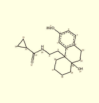 COc1ccc2c(c1)C1(CCNC(=O)C3CC3)CCCCC1(O)CC2